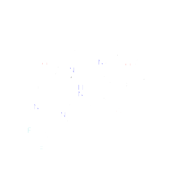 CCC1CN(C(=O)OC(C)(C)C)CCN1C(=O)c1cnc(C(F)(F)F)nc1NCc1ccco1